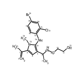 C=C(C)c1cc(C(C)NOCCO)c(Nc2ccc(Br)cc2Cl)n1C